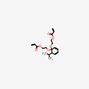 C=CC(=O)OCCOC1(OCCOC(=O)C=C)C=CC=CC1C(C(F)(F)F)C(F)(F)F